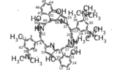 Cc1cc(-c2c3nc(c(-c4c(O)cccc4O)c4ccc([nH]4)c(-c4cc([N+](C)(C)C)cc([N+](C)(C)C)c4)c4nc(c(-c5c(O)cccc5O)c5ccc2[nH]5)C=C4)C=C3)cc(N(C)C)c1